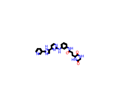 O=C(CCC1NC(=O)CNC1=O)Nc1cccc(Nc2nccc(-c3cnc(-c4cccnc4)[nH]3)n2)c1